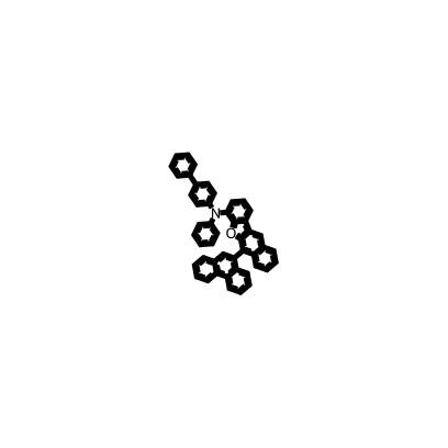 c1ccc(-c2ccc(N(c3ccccc3)c3cccc4c3oc3c(-c5cc6ccccc6c6ccccc56)c5ccccc5cc34)cc2)cc1